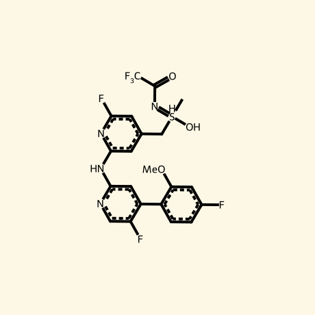 COc1cc(F)ccc1-c1cc(Nc2cc(C[SH](C)(O)=NC(=O)C(F)(F)F)cc(F)n2)ncc1F